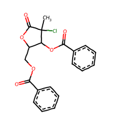 CC1(Cl)C(=O)OC(COC(=O)c2ccccc2)C1OC(=O)c1ccccc1